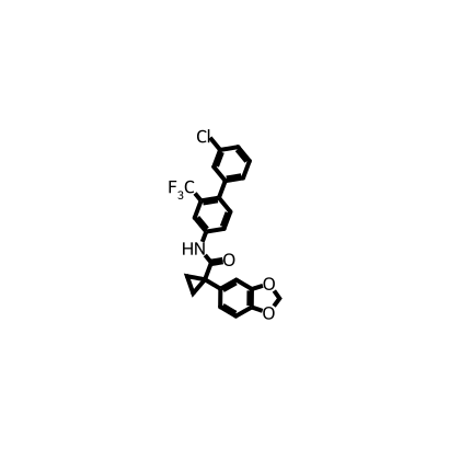 O=C(Nc1ccc(-c2cccc(Cl)c2)c(C(F)(F)F)c1)C1(c2ccc3c(c2)OCO3)CC1